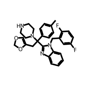 Cc1ccc(C(CC2=COCO2)(c2nc3ccccc3n2Cc2cc(F)ccc2F)N2CCNCC2)cc1